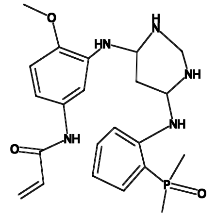 C=CC(=O)Nc1ccc(OC)c(NC2CC(Nc3ccccc3P(C)(C)=O)NCN2)c1